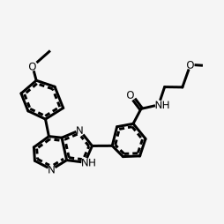 COCCNC(=O)c1cccc(-c2nc3c(-c4ccc(OC)cc4)ccnc3[nH]2)c1